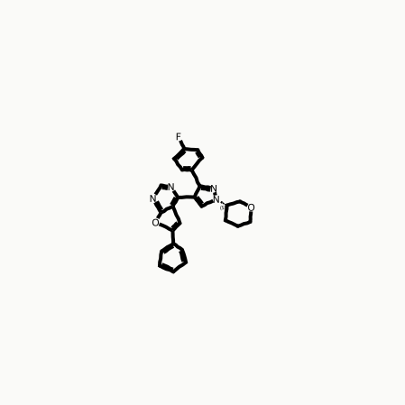 Fc1ccc(-c2nn([C@H]3CCCOC3)cc2-c2ncnc3oc(-c4ccccc4)cc23)cc1